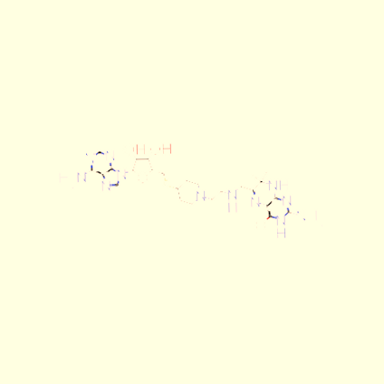 CC1(C)Nc2nc(N)[nH]c(=O)c2N=C1CNCCN1CCC(SC[C@H]2O[C@@H](n3cnc4c(N)ncnc43)[C@@H](O)C2O)CC1